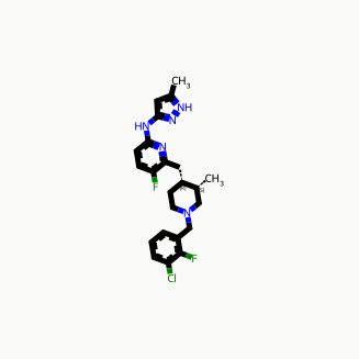 Cc1cc(Nc2ccc(F)c(C[C@H]3CCN(Cc4cccc(Cl)c4F)C[C@H]3C)n2)n[nH]1